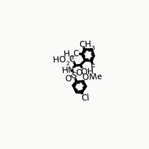 COc1cc(Cl)ccc1S(=O)(=O)NC(C(=O)O)C(O)c1c(F)ccc(C)c1C